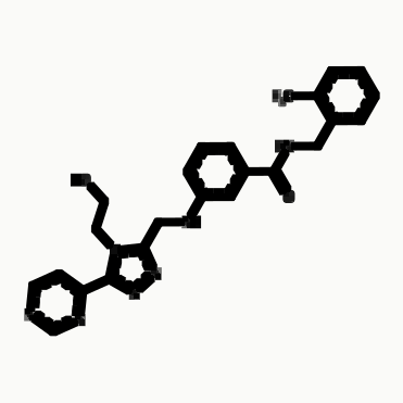 O=C(NCc1ccccc1C(F)(F)F)c1cccc(NCc2nnc(-c3ccncn3)n2CCO)c1